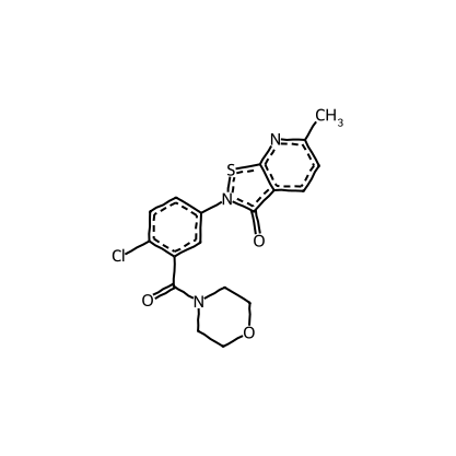 Cc1ccc2c(=O)n(-c3ccc(Cl)c(C(=O)N4CCOCC4)c3)sc2n1